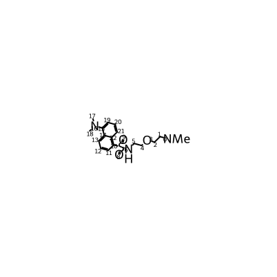 CNCCOCCNS(=O)(=O)c1cccc2c(N(C)C)cccc12